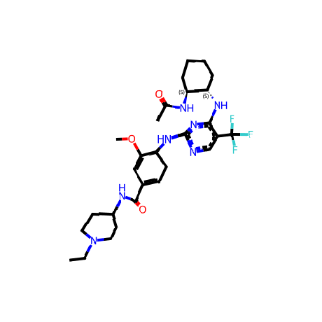 CCN1CCC(NC(=O)C2=CCC(Nc3ncc(C(F)(F)F)c(N[C@H]4CCCC[C@@H]4NC(C)=O)n3)C(OC)=C2)CC1